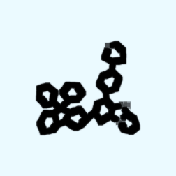 c1ccc(C2(c3ccccc3)c3ccccc3-c3ccc(-c4cc(-c5ccc(-c6cccnc6)cc5)c5[nH]c6cccc[n+]6c5c4)cc32)cc1